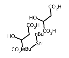 CCC[CH2][Sn][CH2]CCC.O=C(O)CC(O)C(=O)O.O=C(O)CC(O)C(=O)O